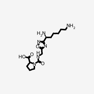 NCCCCC[C@H](N)c1noc(CNC(=O)N2CCCC2C(=O)O)n1